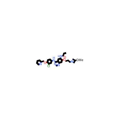 C=CC(=O)Nc1cc2c(Nc3ccc(OCc4ccccn4)c(Cl)c3)ncnc2cc1OCCCN1CC(OC)C1